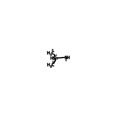 [CH3][SnH]([CH3])[SH]